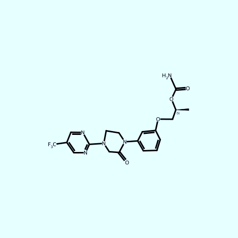 C[C@@H](COc1cccc(N2CCN(c3ncc(C(F)(F)F)cn3)CC2=O)c1)OC(N)=O